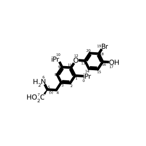 CC(C)c1cc(C[C@H](N)C(=O)O)cc(C(C)C)c1Oc1ccc(O)c(Br)c1